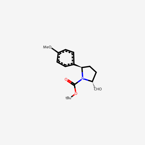 COc1ccc([C@H]2CC[C@H](C=O)N2C(=O)OC(C)(C)C)cc1